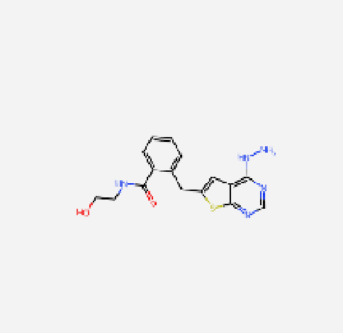 NNc1ncnc2sc(Cc3ccccc3C(=O)NCCO)cc12